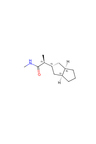 CNC(=O)[C@@H](C)[C@@H]1C[C@H]2CCC[C@H]2C1